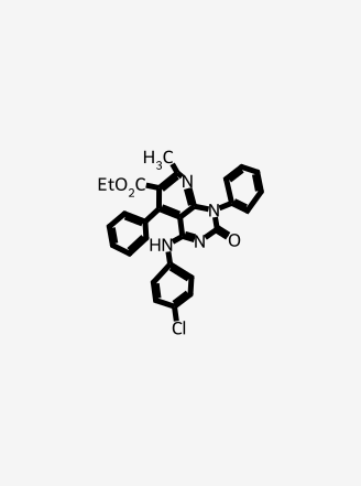 CCOC(=O)c1c(C)nc2c(c(Nc3ccc(Cl)cc3)nc(=O)n2-c2ccccc2)c1-c1ccccc1